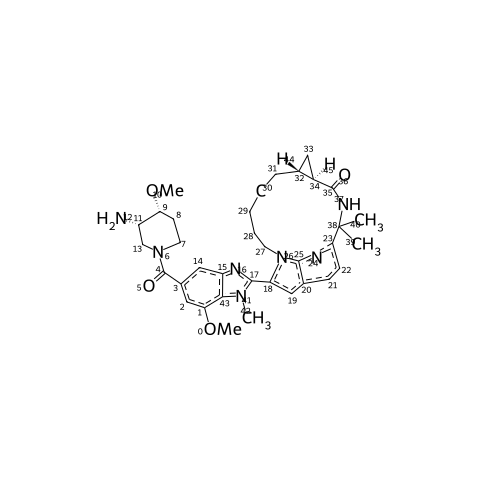 COc1cc(C(=O)N2CC[C@@H](OC)[C@@H](N)C2)cc2nc(-c3cc4ccc5nc4n3CCCCC[C@@H]3C[C@H]3C(=O)NC5(C)C)n(C)c12